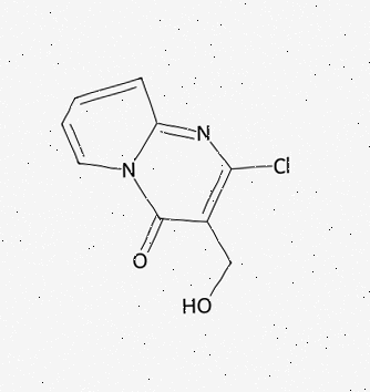 O=c1c(CO)c(Cl)nc2ccccn12